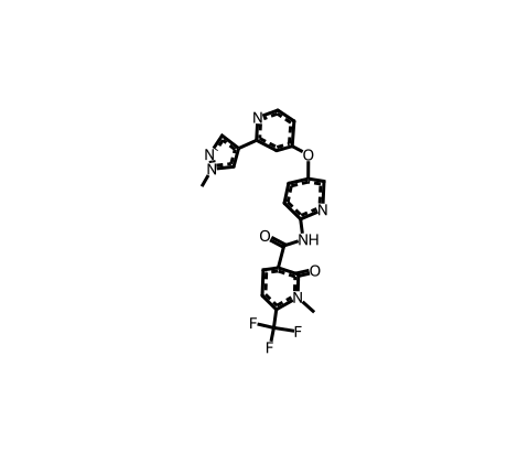 Cn1cc(-c2cc(Oc3ccc(NC(=O)c4ccc(C(F)(F)F)n(C)c4=O)nc3)ccn2)cn1